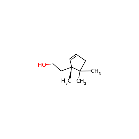 CC1(C)CC=C[C@@]1(C)CCO